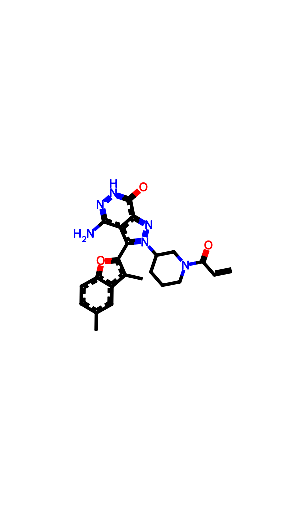 C=CC(=O)N1CCCC(n2nc3c(=O)[nH]nc(N)c3c2-c2oc3ccc(C)cc3c2C)C1